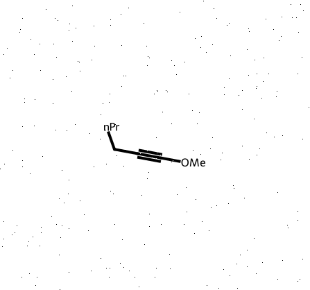 [CH2]OC#CCCCC